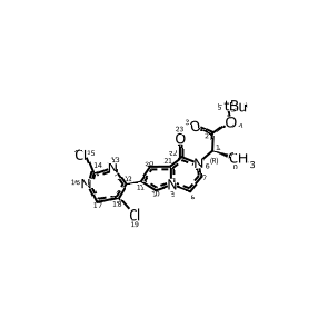 C[C@H](C(=O)OC(C)(C)C)n1ccn2cc(-c3nc(Cl)ncc3Cl)cc2c1=O